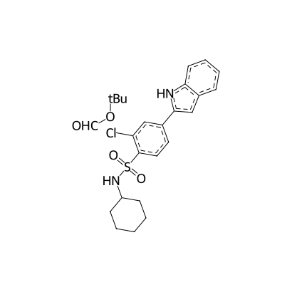 CC(C)(C)OC=O.O=S(=O)(NC1CCCCC1)c1ccc(-c2cc3ccccc3[nH]2)cc1Cl